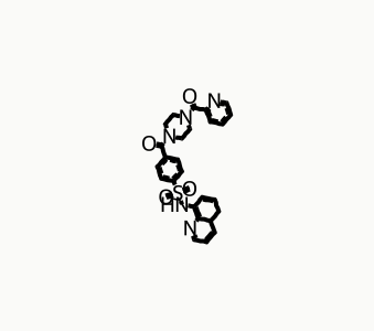 O=C(c1ccc(S(=O)(=O)NC2=C3N=CC=CC3CC=C2)cc1)N1CCN(C(=O)c2ccccn2)CC1